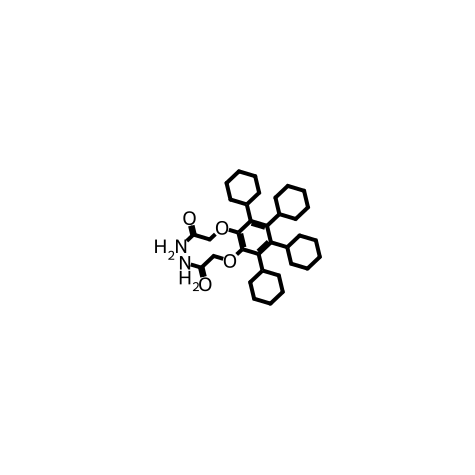 NC(=O)COc1c(OCC(N)=O)c(C2CCCCC2)c(C2CCCCC2)c(C2CCCCC2)c1C1CCCCC1